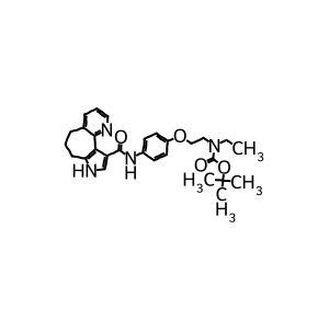 CCN(CCOc1ccc(NC(=O)c2c[nH]c3c2-c2ncccc2CCC3)cc1)C(=O)OC(C)(C)C